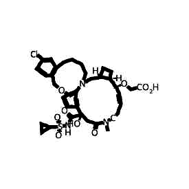 CN1CC/C=C/[C@H](OCC(=O)O)[C@@H]2CC[C@H]2CN2CCCCc3cc(Cl)ccc3COc3ccc(cc32)[C@@](O)(C(=O)NS(=O)(=O)C2CC2)CC1=O